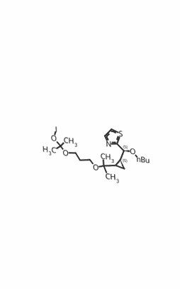 CCCCO[C@H](c1nccs1)[C@H]1CC1C(C)(C)OCCCOC(C)(C)OI